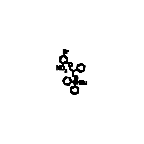 CC(C)(C)[Si](OCC(COc1cc(Br)ccc1[N+](=O)[O-])c1ccccc1)(c1ccccc1)c1ccccc1